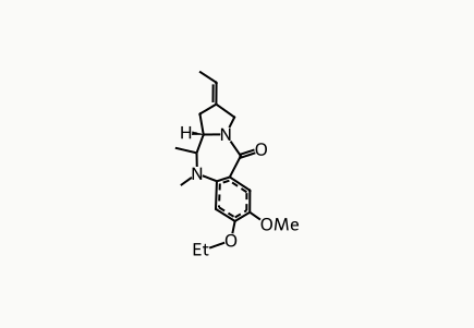 C/C=C1\C[C@H]2C(C)N(C)c3cc(OCC)c(OC)cc3C(=O)N2C1